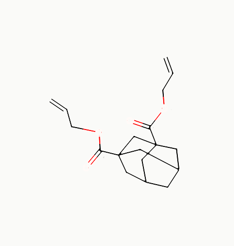 C=CCOC(=O)C12CC3CC(C1)CC(C(=O)OCC=C)(C3)C2